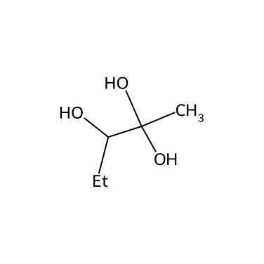 CCC(O)C(C)(O)O